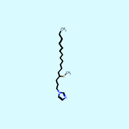 CCCCCCCCCCCCC(CCCn1ccnc1)SC